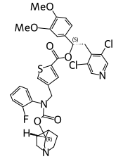 COc1ccc([C@H](Cc2c(Cl)cncc2Cl)OC(=O)c2cc(CN(C(=O)O[C@H]3CN4CCC3CC4)c3ccccc3F)cs2)cc1OC